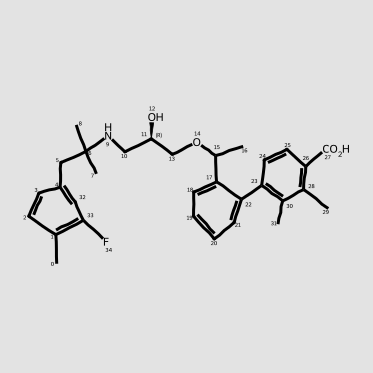 Cc1ccc(CC(C)(C)NC[C@@H](O)COC(C)c2ccccc2-c2ccc(C(=O)O)c(C)c2C)cc1F